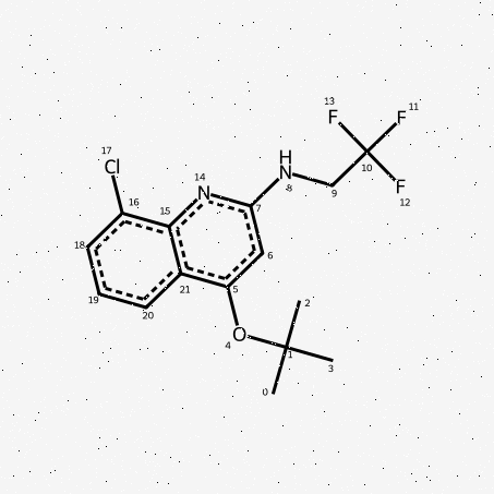 CC(C)(C)Oc1cc(NCC(F)(F)F)nc2c(Cl)cccc12